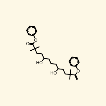 C=C(Oc1ccccc1)C(C)(C)CCC(O)CCCC(O)CCC(C)(C)C(=O)Oc1ccccc1